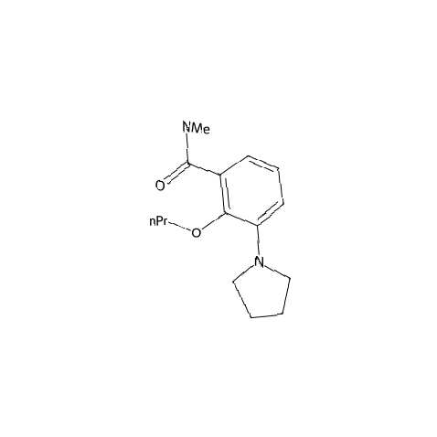 CCCOc1c(C(=O)NC)cccc1N1CCCC1